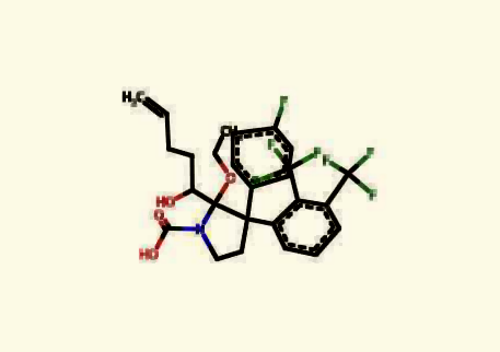 C=CCCC(O)C1(OCC)N(C(=O)O)CCC1(c1ccc(F)cc1)c1cccc(C(F)(F)F)c1C(F)(F)F